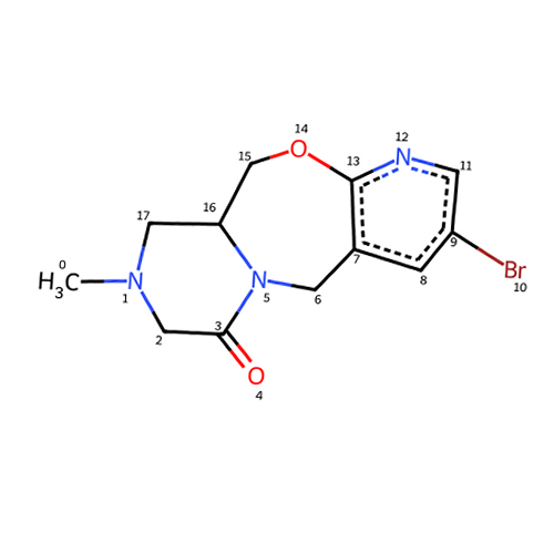 CN1CC(=O)N2Cc3cc(Br)cnc3OCC2C1